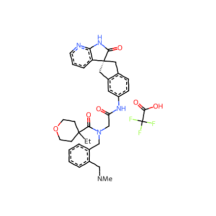 CCC1(C(=O)N(CC(=O)Nc2ccc3c(c2)C[C@@]2(C3)C(=O)Nc3ncccc32)Cc2ccccc2CNC)CCOCC1.O=C(O)C(F)(F)F